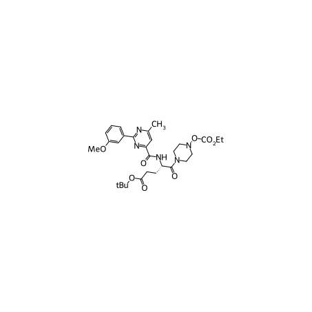 CCOC(=O)ON1CCN(C(=O)[C@H](CCC(=O)OC(C)(C)C)NC(=O)c2cc(C)nc(-c3cccc(OC)c3)n2)CC1